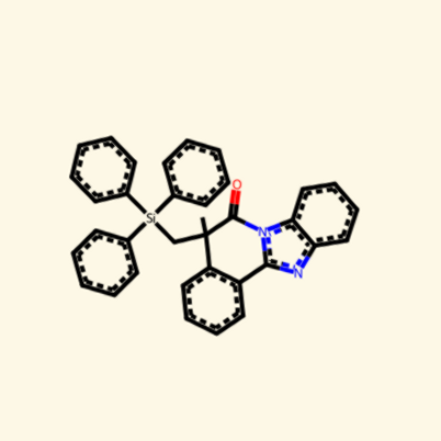 CC1(C[Si](c2ccccc2)(c2ccccc2)c2ccccc2)C(=O)n2c(nc3ccccc32)-c2ccccc21